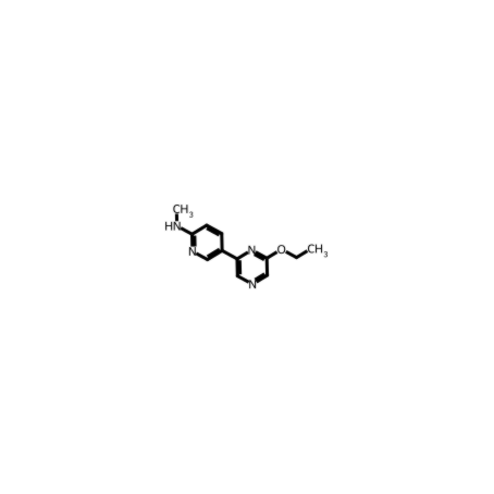 CCOc1cncc(-c2ccc(NC)nc2)n1